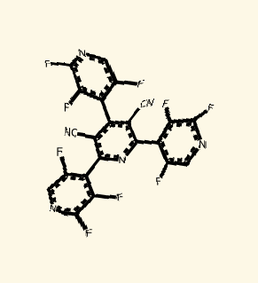 N#Cc1c(-c2c(F)cnc(F)c2F)nc(-c2c(F)cnc(F)c2F)c(C#N)c1-c1c(F)cnc(F)c1F